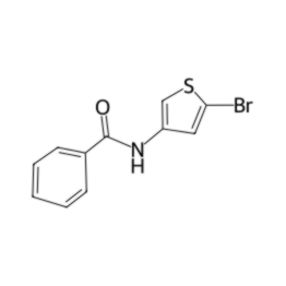 O=C(Nc1csc(Br)c1)c1ccccc1